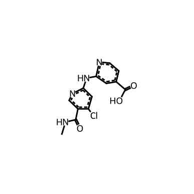 CNC(=O)c1cnc(Nc2cc(C(=O)O)ccn2)cc1Cl